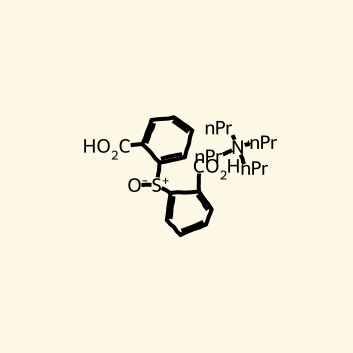 CCC[N+](CCC)(CCC)CCC.O=C(O)c1ccccc1[S+]([O-])c1ccccc1C(=O)O